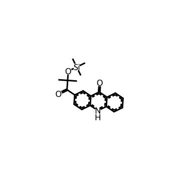 CC(C)(O[Si](C)(C)C)C(=O)c1ccc2[nH]c3ccccc3c(=O)c2c1